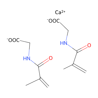 C=C(C)C(=O)NCC(=O)[O-].C=C(C)C(=O)NCC(=O)[O-].[Ca+2]